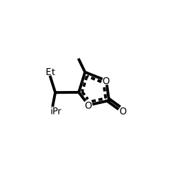 CCC(c1oc(=O)oc1C)C(C)C